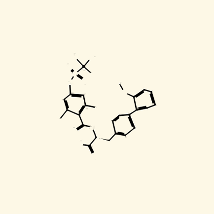 COc1ccccc1-c1ccc(C[C@H](NC(=O)c2c(Cl)cc(NS(=O)(=O)C(F)(F)F)cc2Cl)C(=O)O)cc1